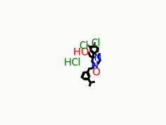 CC(C)c1cccc(CC(=O)N2CCN(C)C(CCO)(c3ccc(Cl)c(Cl)c3)C2)c1.Cl